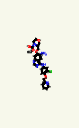 CC(C)(C)OC(=O)N1CCOCC1COc1cc2ncnc(Nc3ccc(OCc4ccccn4)c(Cl)c3)c2cc1N